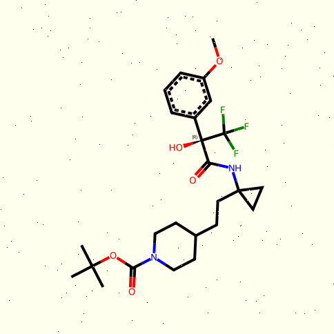 COc1cccc([C@@](O)(C(=O)NC2(CCC3CCN(C(=O)OC(C)(C)C)CC3)CC2)C(F)(F)F)c1